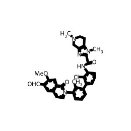 COc1cc2c(=O)n(-c3cccc(-c4cccc(NC(=O)c5nc6c(n5C)CCN(C)C6)c4Cl)c3C)ccc2cc1C=O